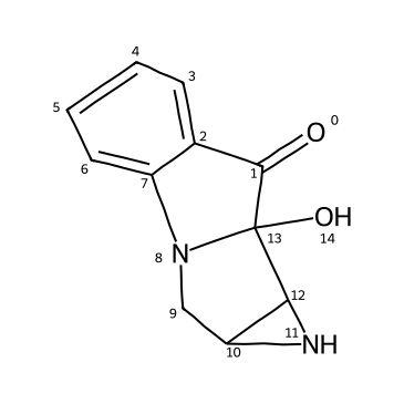 O=C1c2ccccc2N2CC3NC3C12O